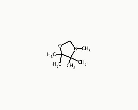 CN1COC(C)(C)C1(C)C